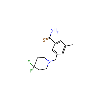 Cc1cc(CN2CCC(F)(F)CC2)cc(C(N)=S)c1